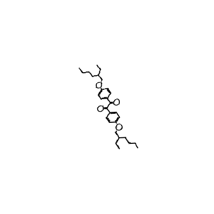 CCCCC(CC)COc1ccc(C(=O)C(=O)c2ccc(OCC(CC)CCCC)cc2)cc1